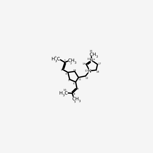 CC(C)=CC1CC(C=C(C)C)C(CN2C=[N+](C)CC2)C1